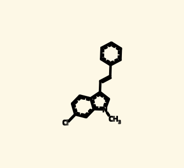 Cn1cc(C=Cc2ccccc2)c2ccc(Cl)cc21